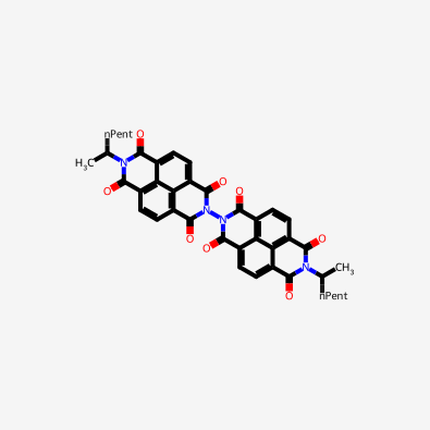 CCCCCC(C)N1C(=O)c2ccc3c4c(ccc(c24)C1=O)C(=O)N(N1C(=O)c2ccc4c5c(ccc(c25)C1=O)C(=O)N(C(C)CCCCC)C4=O)C3=O